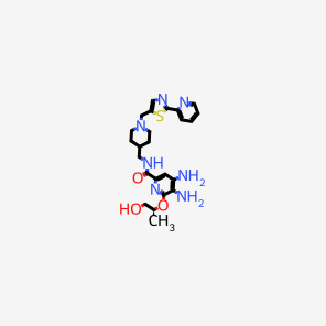 C[C@H](CO)Oc1nc(C(=O)NCC2CCN(Cc3cnc(-c4ccccn4)s3)CC2)cc(N)c1N